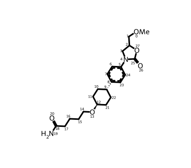 COCC1CN(c2ccc([C@H]3CC[C@H](OCCCCC(N)=O)CC3)cc2)C(=O)O1